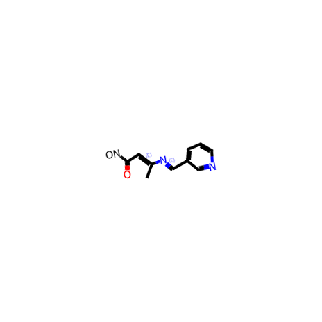 CC(=C\C(=O)N=O)/N=C/c1cccnc1